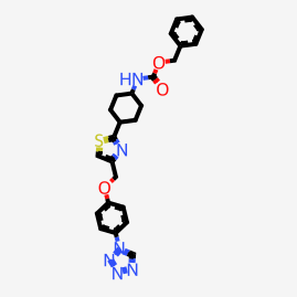 O=C(NC1CCC(c2nc(COc3ccc(-n4cnnn4)cc3)cs2)CC1)OCc1ccccc1